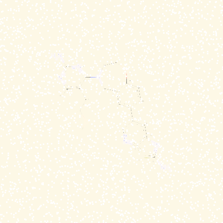 COCCc1c(C)nc(N)nc1N1CCOc2ccc(-c3cnc4sc(N)nc4c3)cc2C1